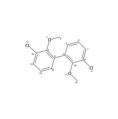 COc1c(-c2[c]ccc(Cl)c2OC)[c]ccc1Cl